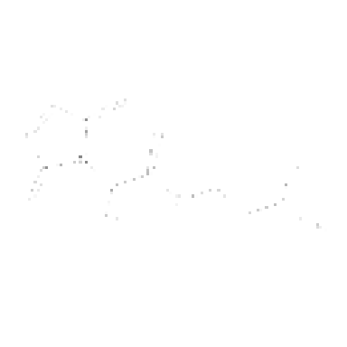 CC(C)CCOC(=O)C(C)N1C(=O)C=CC1=O